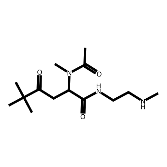 CNCCNC(=O)C(CC(=O)C(C)(C)C)N(C)C(C)=O